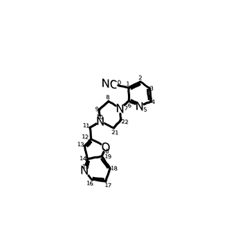 N#Cc1cccnc1N1CCN(Cc2cc3ncccc3o2)CC1